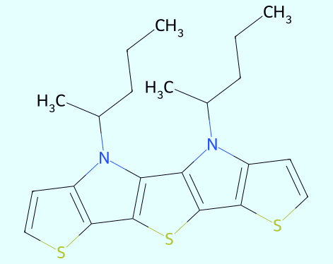 CCCC(C)n1c2ccsc2c2sc3c4sccc4n(C(C)CCC)c3c21